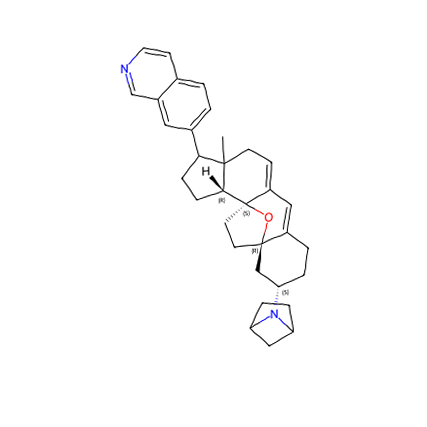 CC12CC=C3C=C4CC[C@H](N5C6CCC5C6)C[C@]45CC[C@]3(O5)[C@@H]1CCC2c1ccc2ccncc2c1